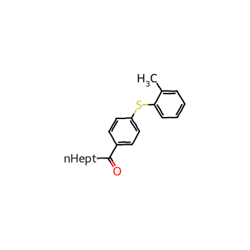 CCCCCCCC(=O)c1ccc(Sc2ccccc2C)cc1